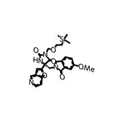 COc1ccc2c(c1)C(=O)N(C[C@@]1(c3cc4cnccc4o3)NC(=O)N(COCC[Si](C)(C)C)C1=O)C2